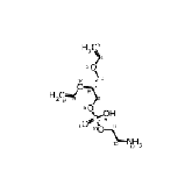 C=COC[C@H](COP(=O)(O)OCCN)OC=C